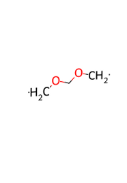 [CH2]OCO[CH2]